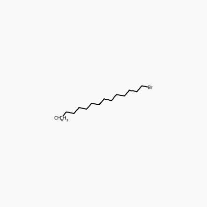 C.CCCCCCCCCCCCCCBr